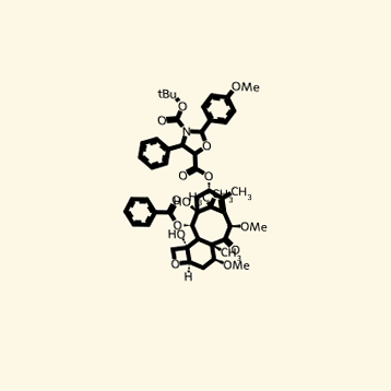 COc1ccc(C2OC(C(=O)O[C@H]3C[C@@]4(O)[C@@H](OC(=O)c5ccccc5)C5[C@]6(O)CO[C@@H]6C[C@H](OC)[C@@]5(C)C(=O)[C@H](OC)C(=C3C)C4(C)C)C(c3ccccc3)N2C(=O)OC(C)(C)C)cc1